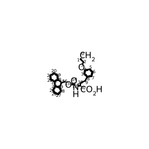 C=CCOc1cccc(CCC(NC(=O)OCC2c3ccccc3-c3ccccc32)C(=O)O)c1